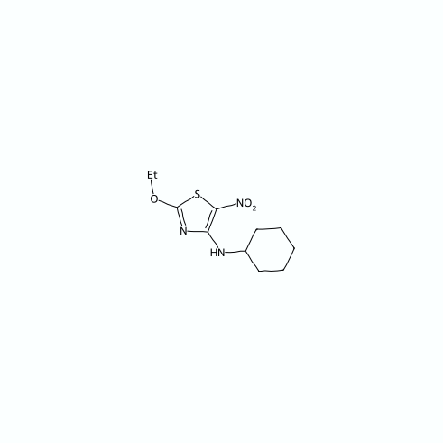 CCOc1nc(NC2CCCCC2)c([N+](=O)[O-])s1